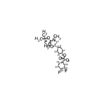 CN(CC(O)c1ccc(OS(=O)(=O)c2ccc(F)c(F)c2)cc1)C(=O)OC(C)(C)C